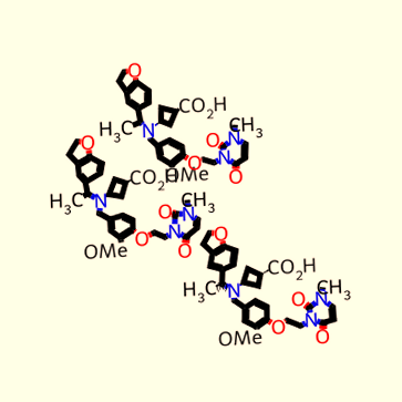 COc1cc(CN(C(C)c2ccc3c(c2)CCO3)[C@H]2C[C@@H](C(=O)O)C2)ccc1OCCn1c(=O)ccn(C)c1=O.COc1cc(CN(C(C)c2ccc3c(c2)CCO3)[C@H]2C[C@H](C(=O)O)C2)ccc1OCCn1c(=O)ccn(C)c1=O.COc1cc(CN([C@H]2C[C@@H](C(=O)O)C2)[C@H](C)c2ccc3c(c2)CCO3)ccc1OCCn1c(=O)ccn(C)c1=O